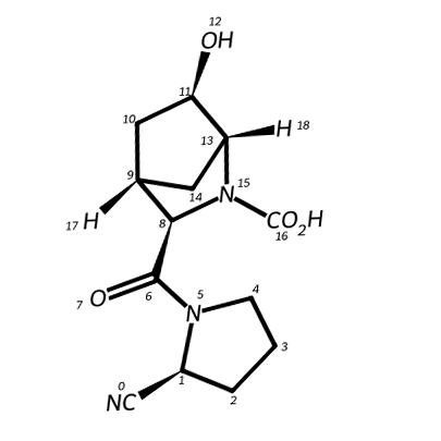 N#C[C@@H]1CCCN1C(=O)[C@H]1[C@@H]2C[C@@H](O)[C@@H](C2)N1C(=O)O